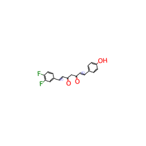 O=C(/C=C/c1ccc(O)cc1)CC(=O)/C=C/c1ccc(F)c(F)c1